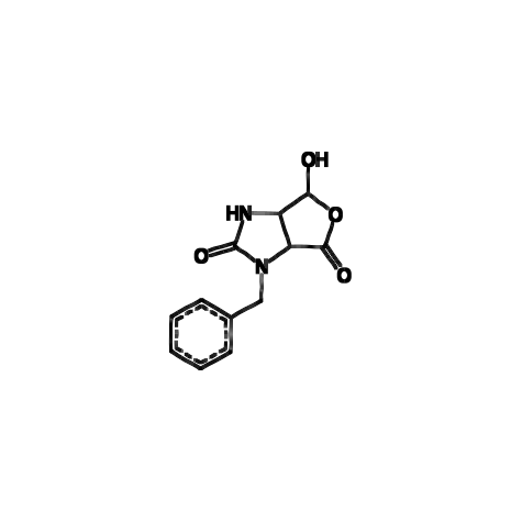 O=C1OC(O)C2NC(=O)N(Cc3ccccc3)C12